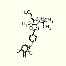 C=C/C=C(\C)C1(C)OB(c2ccc(Cn3ccc(=O)[nH]c3=O)cc2)OC1C(C)C(C)C